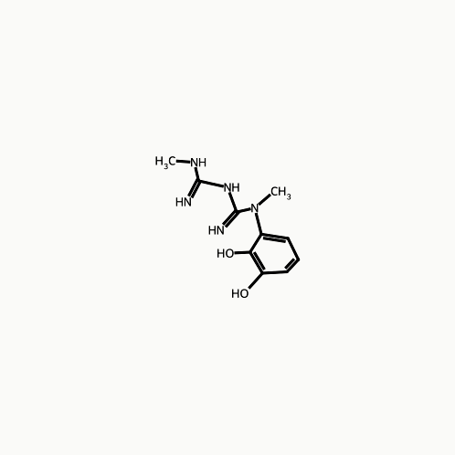 CNC(=N)NC(=N)N(C)c1cccc(O)c1O